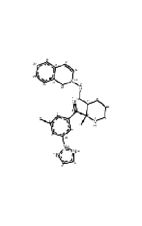 Cc1cc(C(=O)C2(C)NCCCC2CON2C=Cc3ccccc3C2)cc(-n2nccn2)c1